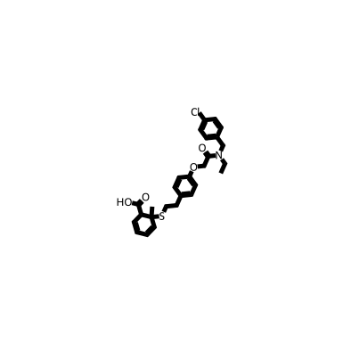 CCN(Cc1ccc(Cl)cc1)C(=O)COc1ccc(CCSC2(C)C=CC=CC2C(=O)O)cc1